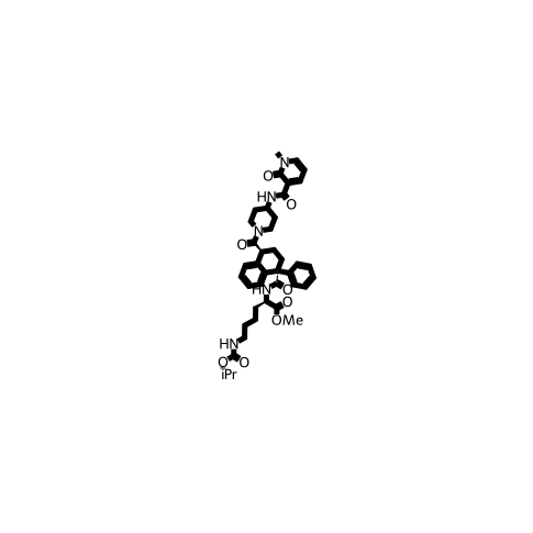 COC(=O)[C@@H](CCCCNC(=O)OC(C)C)NC(=O)[C@@]1(c2ccccc2)CC[C@H](C(=O)N2CCC(NC(=O)c3cccn(C)c3=O)CC2)c2ccccc21